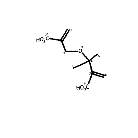 C=C(COC(C)(C)C(=C)C(=O)O)C(=O)O